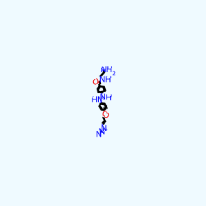 [N-]=[N+]=NCCCOc1ccc(NNc2ccc(C(=O)NCCN)cc2)cc1